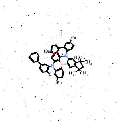 Cc1ccc(-c2ccccc2)cc1N1c2cc(C(C)(C)C)ccc2B2c3cc4c(cc3N(c3ccc(C(C)(C)C)cc3-c3ccccc3)c3cc(C(C)(C)C)cc1c32)C(C)(C)CC4(C)C